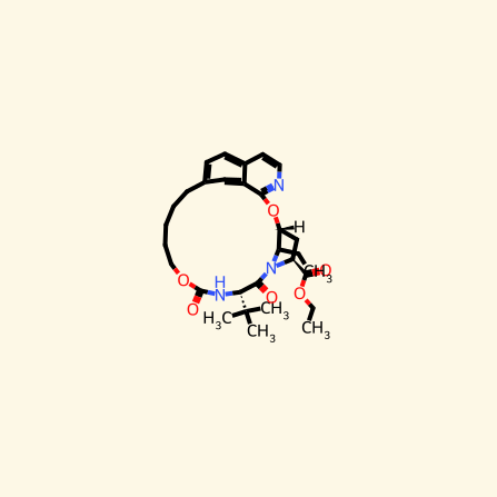 CCOC(=O)[C@@H]1C[C@H]2Oc3nccc4ccc(cc34)CCCCCOC(=O)N[C@@H](C(C)(C)C)C(=O)N1C2CC